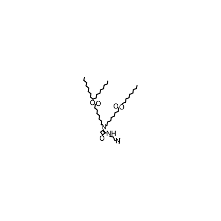 CCCCCCCCCOC(=O)CCCCCCCN(CCCCCCCC(=O)OC(CCCCCCCC)CCCCCCCC)C1=C(NCCCN(C)C)C(=O)C1